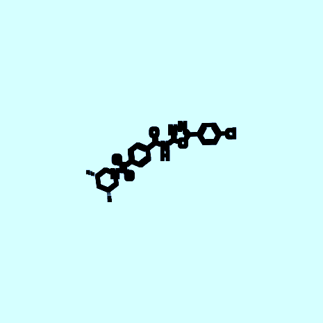 C[C@@H]1C[C@H](C)CN(S(=O)(=O)c2ccc(C(=O)Nc3nnc(-c4ccc(Cl)cc4)o3)cc2)C1